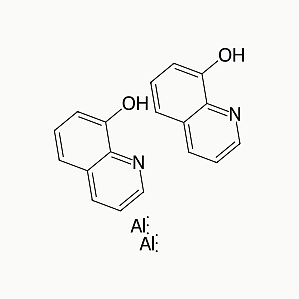 Oc1cccc2cccnc12.Oc1cccc2cccnc12.[Al].[Al]